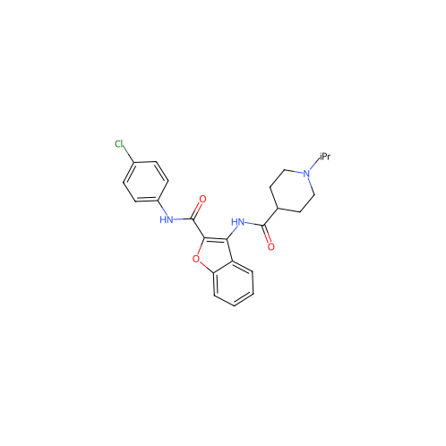 CC(C)N1CCC(C(=O)Nc2c(C(=O)Nc3ccc(Cl)cc3)oc3ccccc23)CC1